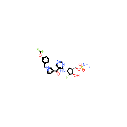 NS(=O)(=O)OC[C@H]1C[C@@H](Nc2ncncc2C(=O)c2ccn(Cc3cccc(OC(F)F)c3)c2)[C@@H](F)[C@@H]1O